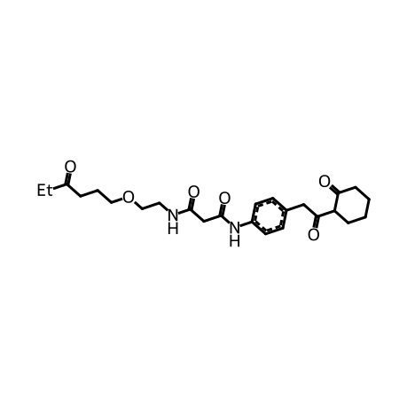 CCC(=O)CCCOCCNC(=O)CC(=O)Nc1ccc(CC(=O)C2CCCCC2=O)cc1